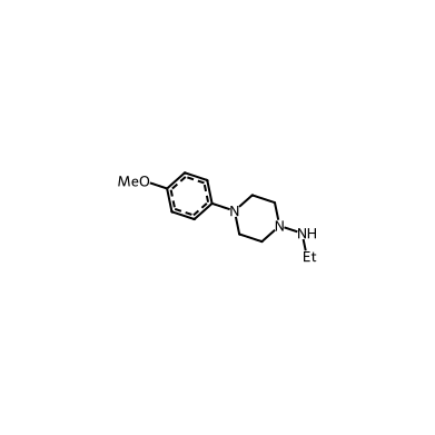 CCNN1CCN(c2ccc(OC)cc2)CC1